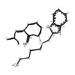 CC(C)/C=C1/CCC[C@H](N(CCCCN)Cc2nc3ccccc3[nH]2)C1=N